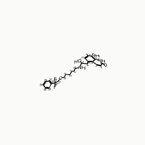 O=c1ccc2c(C[C@H](O)NCCCCCCOCC(F)(F)c3ccccc3)ccc(O)c2[nH]1